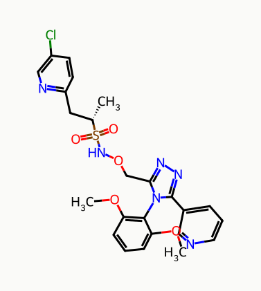 COc1cccc(OC)c1-n1c(CONS(=O)(=O)[C@@H](C)Cc2ccc(Cl)cn2)nnc1-c1cccnc1